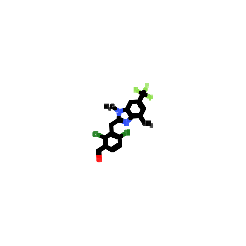 CC1=C2N=C(Cc3c(Cl)ccc(C=O)c3Cl)N(C)C2CC(C(F)(F)F)=C1